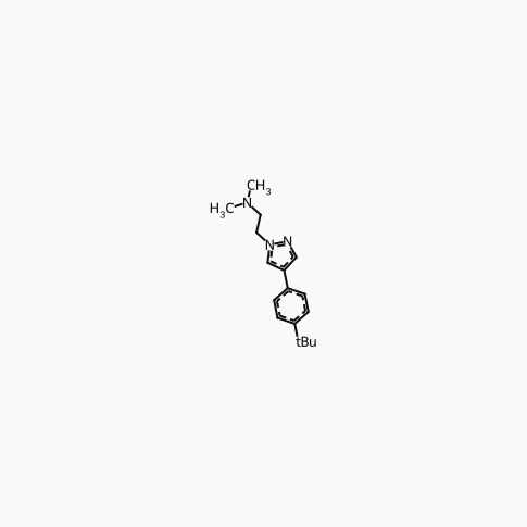 CN(C)CCn1cc(-c2ccc(C(C)(C)C)cc2)cn1